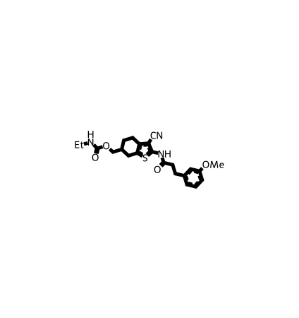 CCNC(=O)OCC1CCc2c(sc(NC(=O)CCc3cccc(OC)c3)c2C#N)C1